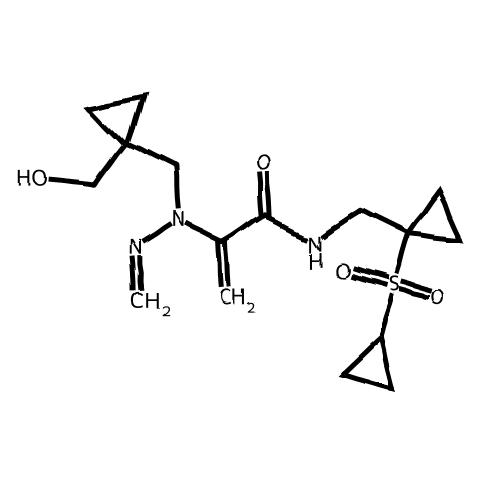 C=NN(CC1(CO)CC1)C(=C)C(=O)NCC1(S(=O)(=O)C2CC2)CC1